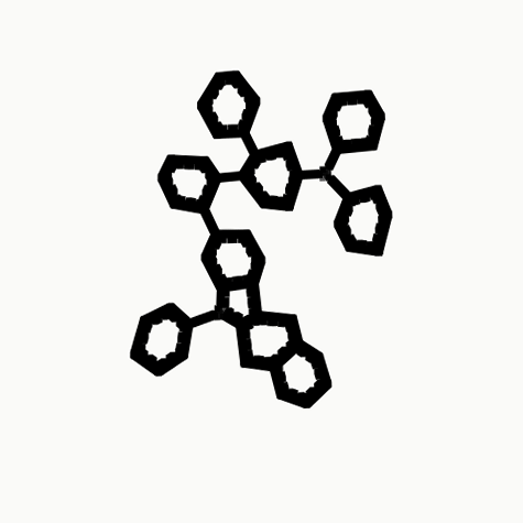 c1ccc(-c2cc(N(c3ccccc3)c3ccccc3)ccc2-c2ccccc2-c2ccc3c4cc5ccccc5cc4n(-c4ccccc4)c3c2)cc1